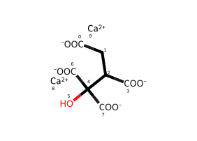 O=C([O-])CC(C(=O)[O-])C(O)(C(=O)[O-])C(=O)[O-].[Ca+2].[Ca+2]